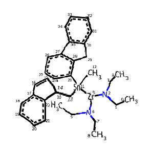 CC[N](CC)[Zr]([N](CC)CC)[Sn]([CH3])([CH2]C1C=Cc2ccccc21)[c]1cccc2c1Cc1ccccc1-2